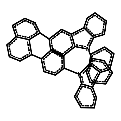 c1ccc(-n2c3ccccc3c3cc(-c4cccc5cccc(-c6ccc(-n7c8ccccc8c8ccccc87)cc6)c45)ccc32)cc1